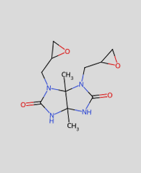 CC12NC(=O)N(CC3CO3)C1(C)N(CC1CO1)C(=O)N2